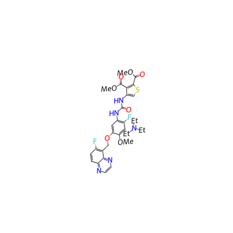 CCN(CC)CC.COC(=O)c1scc(NC(=O)Nc2cc(OCc3c(F)ccc4nccnc34)c(OC)cc2F)c1C(=O)OC